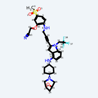 CS(=O)(=O)c1ccc(NCC#Cc2cc3c(N[C@H]4CC[C@H](N5CC6CC(C5)O6)CC4)cccc3n2CC(F)(F)F)c(OCC#N)c1